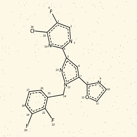 Fc1cnc(-c2cc(-c3ncco3)n(Cc3cccc(F)c3F)n2)nc1Cl